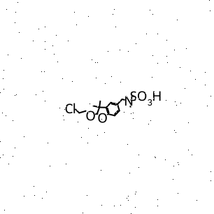 CN(Cc1ccc2c(c1)C(C)(C)C(OCCCl)O2)S(=O)(=O)O